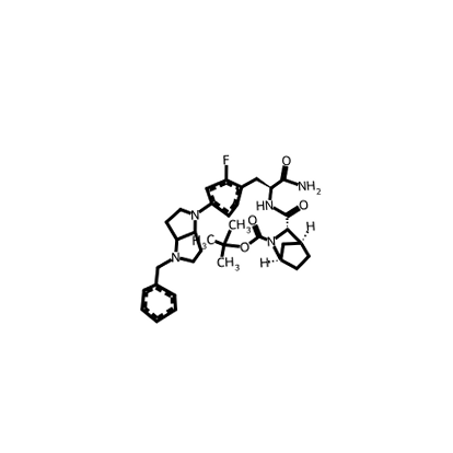 CC(C)(C)OC(=O)N1[C@@H]2CC[C@@H](C2)[C@H]1C(=O)N[C@@H](Cc1ccc(N2CCC3C2CCN3Cc2ccccc2)cc1F)C(N)=O